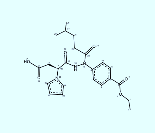 CCOC(=O)c1ccc(N(NC(=O)[C@H](CC(=O)O)n2cccc2)C(=O)CCC(C)C)cc1